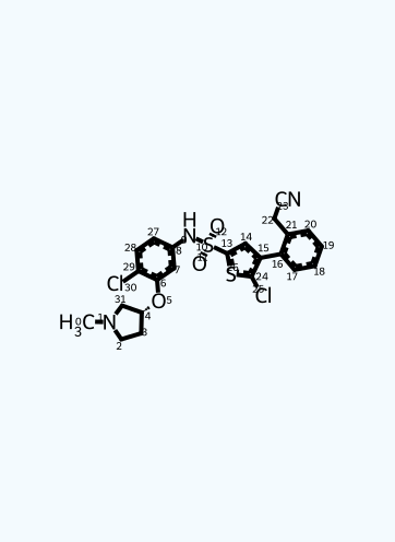 CN1CC[C@@H](Oc2cc(NS(=O)(=O)c3cc(-c4ccccc4CC#N)c(Cl)s3)ccc2Cl)C1